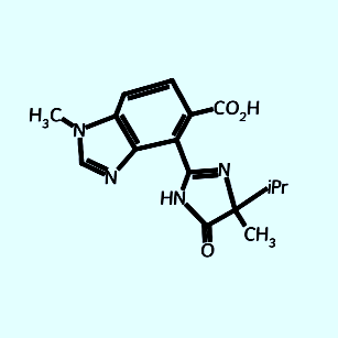 CC(C)C1(C)N=C(c2c(C(=O)O)ccc3c2ncn3C)NC1=O